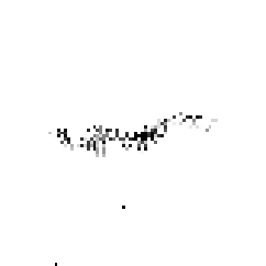 Cc1c(NC(=O)c2nc3c(n2C)CCN(CC2CCC(C(=O)O)CC2)C3)cccc1-c1cccc(Nc2nccc3cc(CN4CC[C@@H](O)C4)cnc23)c1C